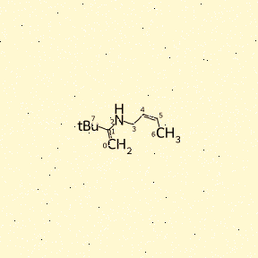 C=C(NC/C=C\C)C(C)(C)C